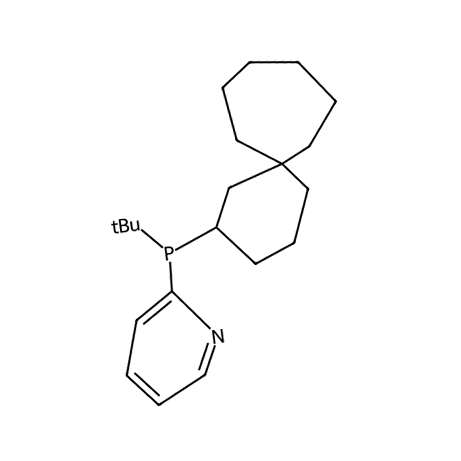 CC(C)(C)P(c1ccccn1)C1CCCC2(CCCCCC2)C1